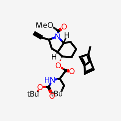 C#CC1C[C@H]2[C@@H](OC(=O)C(CC(C)(C)C)NC(=O)OC(C)(C)C)CCC[C@H]2N1C(=O)OC.Cc1cc2ccc1-2